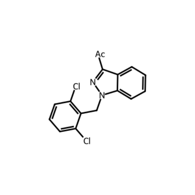 CC(=O)c1nn(Cc2c(Cl)cccc2Cl)c2ccccc12